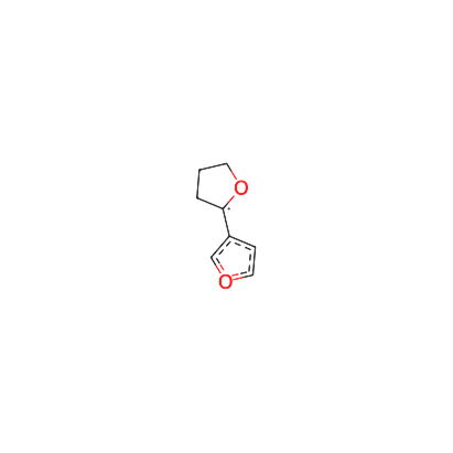 c1cc([C]2CCCO2)co1